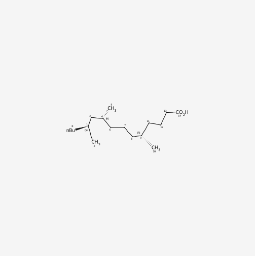 CCCC[C@H](C)C[C@H](C)CCC[C@@H](C)CCCC(=O)O